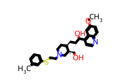 COc1ccc2nccc(C(O)CC[C@@H]3CCN(CCSc4cccc(C)c4)C[C@@H]3CO)c2c1